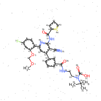 COCOc1cc(F)ccc1-c1cc(-c2cccc(C(=O)NCCN(C(=O)O)C(C)(C)C)c2)c(C#N)c(NC(=O)c2cccs2)n1